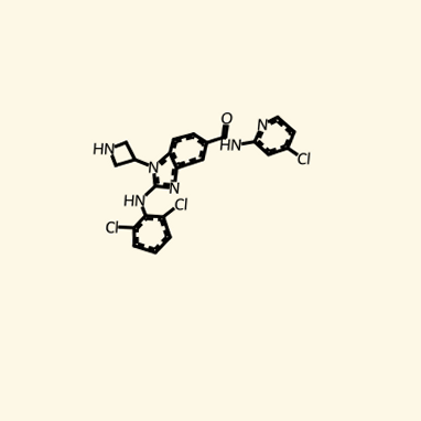 O=C(Nc1cc(Cl)ccn1)c1ccc2c(c1)nc(Nc1c(Cl)cccc1Cl)n2C1CNC1